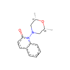 C[C@@H]1CN(n2c(=O)ccc3ccccc32)C[C@H](C)O1